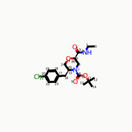 CCNC(=O)[C@H]1CN(C(=O)OC(C)(C)C)[C@@H](Cc2ccc(Cl)cc2)CO1